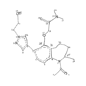 CC(=O)N1c2ccc(-c3cnn(CCO)c3)c(OCC(=O)N(C)C)c2CCC1C